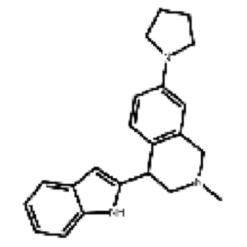 CN1Cc2cc(N3CCCC3)ccc2C(c2cc3ccccc3[nH]2)C1